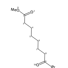 COC(=O)CCCCCCC(=O)C(C)C